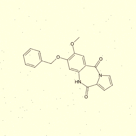 COc1cc2c(=O)n3cccc3c(=O)[nH]c2cc1OCc1ccccc1